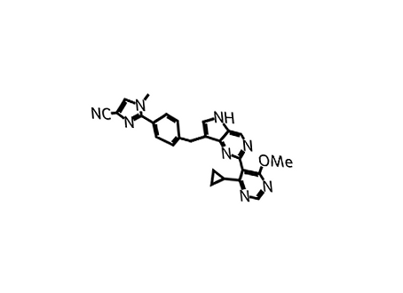 COc1ncnc(C2CC2)c1-c1ncc2[nH]cc(Cc3ccc(-c4nc(C#N)cn4C)cc3)c2n1